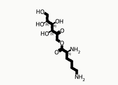 NCCCC[C@H](N)C(=O)OCC(=O)[C@@H](O)[C@H](O)[C@H](O)CO